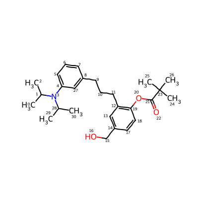 CC(C)N(c1cccc(CCCc2cc(CO)ccc2OC(=O)C(C)(C)C)c1)C(C)C